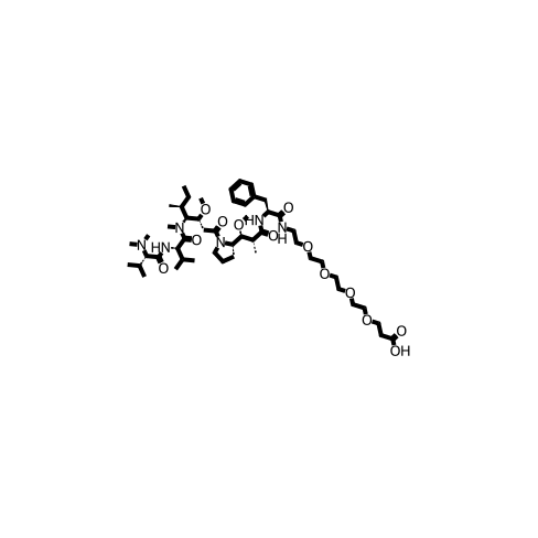 CC[C@H](C)[C@@H]([C@@H](CC(=O)N1CCC[C@H]1[C@H](OC)[C@@H](C)C(=O)N[C@@H](Cc1ccccc1)C(=O)NCCOCCOCCOCCOCCC(=O)O)OC)N(C)C(=O)[C@@H](NC(=O)[C@H](C(C)C)N(C)C)C(C)C